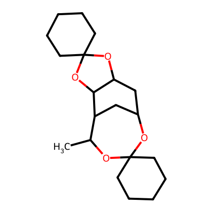 CC1OC2(CCCCC2)OC2CC3OC4(CCCCC4)OC3C1C2